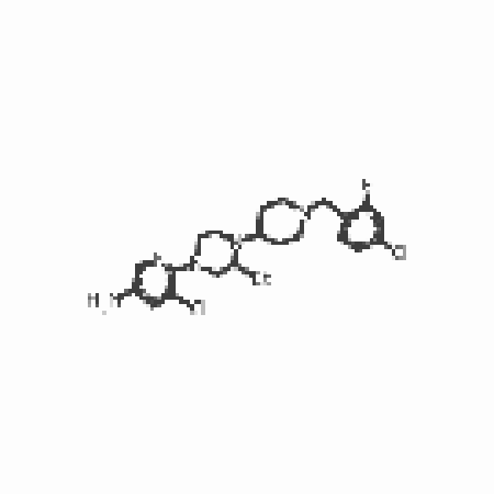 CCC1CN(c2ncc(N)cc2Cl)CCN1C1CCN(Cc2ccc(Cl)cc2F)CC1